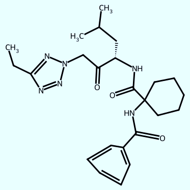 CCc1nnn(CC(=O)[C@H](CC(C)C)NC(=O)C2(NC(=O)c3ccccc3)CCCCC2)n1